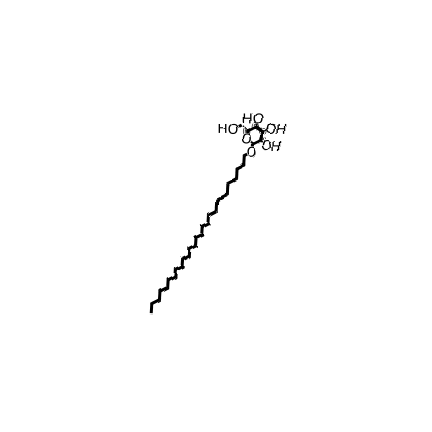 CCCCCCCCCCCCCCCCCCCCCCCCCCOC1O[C@H](CO)[C@@H](O)[C@H](O)[C@H]1O